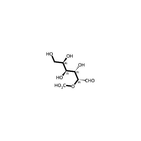 O=C[C@H](OC(=O)O)[C@@H](O)[C@@H](O)[C@H](O)CO